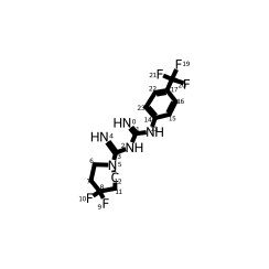 N=C(NC(=N)N1CCC(F)(F)CC1)Nc1ccc(C(F)(F)F)cc1